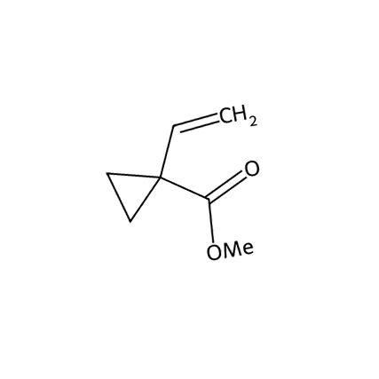 C=CC1(C(=O)OC)CC1